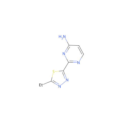 CCc1nnc(-c2nccc(N)n2)s1